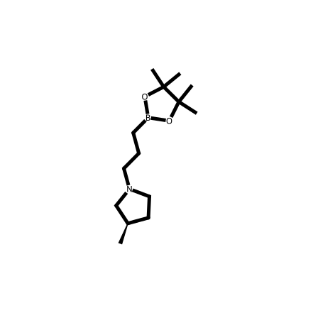 C[C@@H]1CCN(CCCB2OC(C)(C)C(C)(C)O2)C1